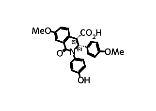 COc1ccc([C@H]2[C@@H](C(=O)O)c3ccc(OC)cc3C(=O)N2c2ccc(O)cc2)cc1